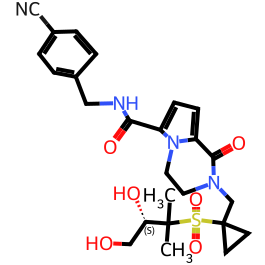 CC(C)([C@@H](O)CO)S(=O)(=O)C1(CN2CCn3c(C(=O)NCc4ccc(C#N)cc4)ccc3C2=O)CC1